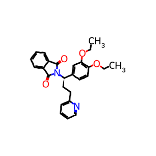 CCOc1ccc([C@@H](CCc2ccccn2)N2C(=O)c3ccccc3C2=O)cc1OCC